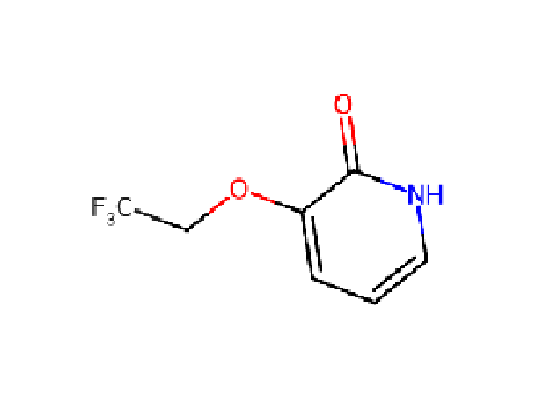 O=c1[nH]cccc1OCC(F)(F)F